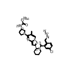 Cc1cn2nc([C@@H]3CCCCN3C(=O)c3cc(Cl)ccc3CN=[N+]=[N-])cc2nc1N1CC[C@H](NC(=O)OC(C)(C)C)C1